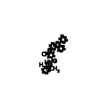 CC(C)(CNC(=O)c1ccc(OC2CCN(CC(c3ccccc3)c3ccccc3)CC2)c(Cl)c1)N1CCCCC1